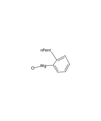 CCCCCc1cccc[c]1[Mg][Cl]